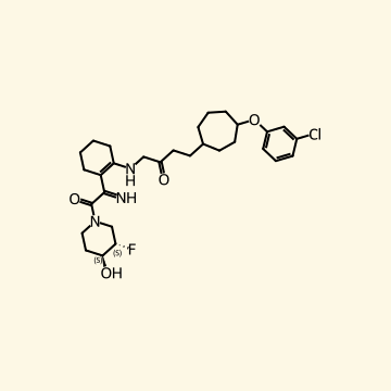 N=C(C(=O)N1CC[C@H](O)[C@@H](F)C1)C1=C(NCC(=O)CCC2CCCC(Oc3cccc(Cl)c3)CC2)CCCC1